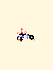 CC1(C)OCCn2c1nc(C(=O)NCc1[c]cc(F)cc1)c(O)c2=O